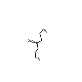 CCCC(=O)CCC.[Cu]